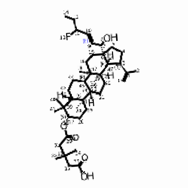 C=C(C)[C@@H]1CC[C@]2(C(O)/C=C/C(F)CC)CC[C@]3(C)[C@H](CC[C@@H]4[C@@]5(C)CC[C@H](OC(=O)CC(C)(C)CC(=O)O)C(C)(C)[C@@H]5CC[C@]43C)[C@@H]12